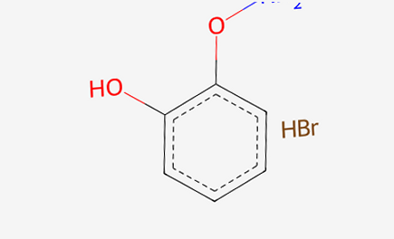 Br.NOc1ccccc1O